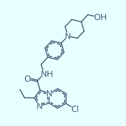 CCc1nc2cc(Cl)ccn2c1C(=O)NCc1ccc(N2CCC(CO)CC2)cc1